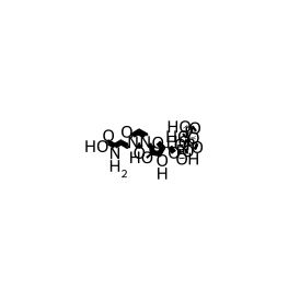 NC(CCn1c(=O)ccn([C@@H]2O[C@H](COP(=O)(O)OP(=O)(O)OP(=O)(O)O)[C@@H](O)[C@H]2O)c1=O)C(=O)O